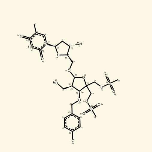 Cc1cn([C@H]2C[C@H](O)[C@@H](COC3OC(COS(C)(=O)=O)(COS(C)(=O)=O)[C@@H](OCc4ccc(Cl)cc4)[C@H]3CO)O2)c(=O)[nH]c1=O